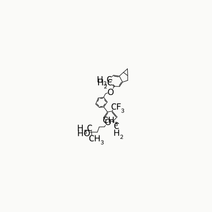 C=C(/C=C1/CC2CC2/C1=C/C)OCc1cccc(C(=C/C)/C(=C\C(=C)OCCCC(C)(C)O)C(F)(F)F)c1